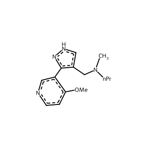 CCCN(C)Cc1c[nH]nc1-c1cnccc1OC